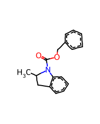 CC1Cc2ccccc2N1C(=O)OCc1ccccc1